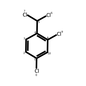 Clc1ccc(C(Cl)Cl)c(Cl)c1